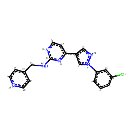 Clc1cccc(-n2cc(-c3ccnc(NCc4ccncc4)n3)cn2)c1